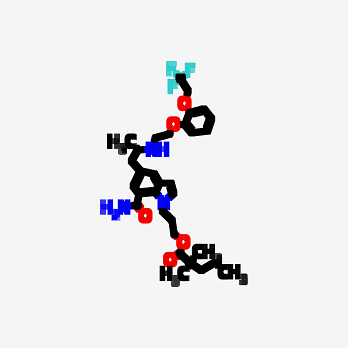 CCCC(C)(C)C(=O)OCCCn1ccc2cc(CC(C)NCCOc3ccccc3OCC(F)(F)F)cc(C(N)=O)c21